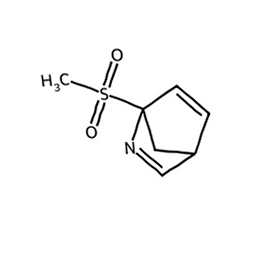 CS(=O)(=O)C12C=CC(C=N1)C2